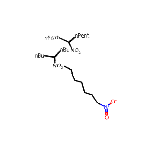 CCCCC(CCCC)[N+](=O)[O-].CCCCCC(CCCCC)[N+](=O)[O-].CCCCCCC[N+](=O)[O-]